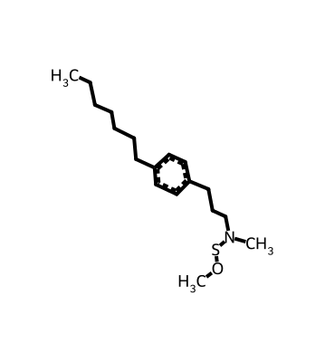 CCCCCCCc1ccc(CCCN(C)SOC)cc1